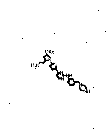 CC(=O)OC1CC(CCN)N(c2ccc(-c3ccnc(Nc4cccc(CN5CCNCC5)c4)n3)cn2)C1